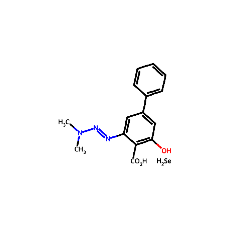 CN(C)N=Nc1cc(-c2ccccc2)cc(O)c1C(=O)O.[SeH2]